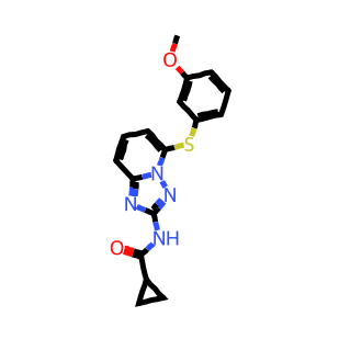 COc1cccc(Sc2cccc3nc(NC(=O)C4CC4)nn23)c1